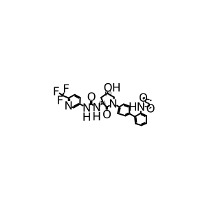 CS(=O)(=O)Nc1ccccc1-c1ccc(N2C[C@H](O)C[C@@H](NC(=O)Nc3ccc(C(F)(F)F)nc3)C2=O)cc1